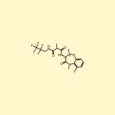 CC(C(=O)NCC(F)(F)C(F)(F)F)C(=O)N[C@@H]1C(=O)N(C)c2c(F)cccc2O[C@@H]1C